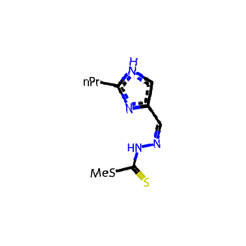 CCCc1nc(/C=N\NC(=S)SC)c[nH]1